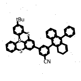 CC(C)(C)c1ccc2c(c1)Sc1cc(-c3cc(C#N)cc(-c4c5c(c(-c6ccccc6)c6ccccc46)C=CCC5)c3)cc3c1B2c1ccccc1S3